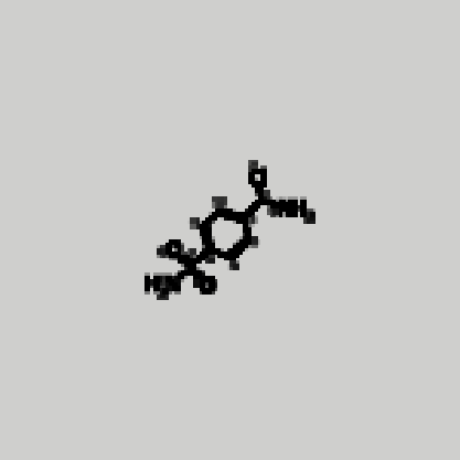 NC(Cl)c1ccc(S(N)(=O)=O)cc1